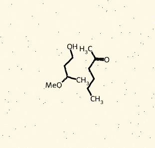 CCCCC(C)=O.COC(C)CCO